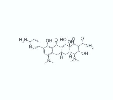 CN(C)c1cc(-c2ccc(N)nc2)c(O)c2c1C[C@H]1C[C@H]3[C@H](N(C)C)C(O)=C(C(N)=O)C(=O)[C@@]3(O)C(O)=C1C2=O